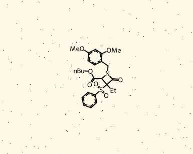 CCCCOC(=O)C1N(Cc2ccc(OC)cc2OC)C(=O)C1(CC)S(=O)(=O)c1ccccc1